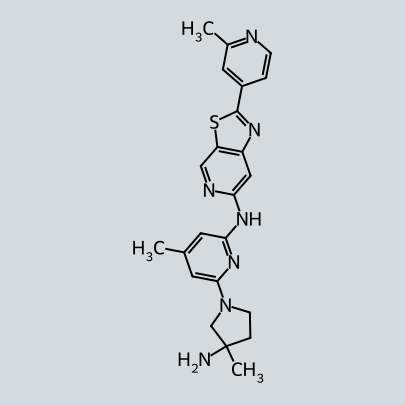 Cc1cc(Nc2cc3nc(-c4ccnc(C)c4)sc3cn2)nc(N2CCC(C)(N)C2)c1